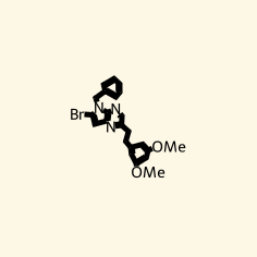 COc1cc(CCc2cnc3c(cc(Br)n3Cc3ccccc3)n2)cc(OC)c1